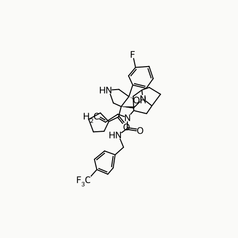 C=CCN(C(=O)NCc1ccc(C(F)(F)F)cc1)C1CC2CCC(C1)N2C[C@@]1(C(=O)C2CCCC2)CNC[C@@]1(O)c1cccc(F)c1